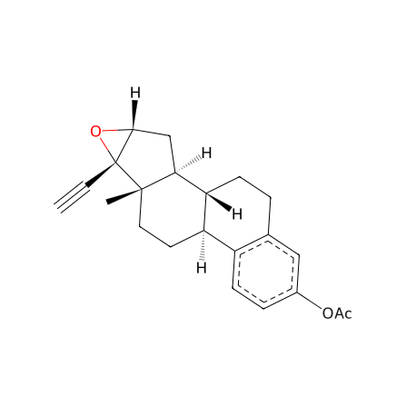 C#C[C@@]12O[C@@H]1C[C@H]1[C@@H]3CCc4cc(OC(C)=O)ccc4[C@H]3CC[C@@]12C